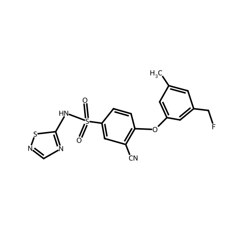 Cc1cc(CF)cc(Oc2ccc(S(=O)(=O)Nc3ncns3)cc2C#N)c1